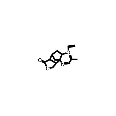 C=COC1CC2CC1(/N=C\C(=C)C)C1COC(=O)C21